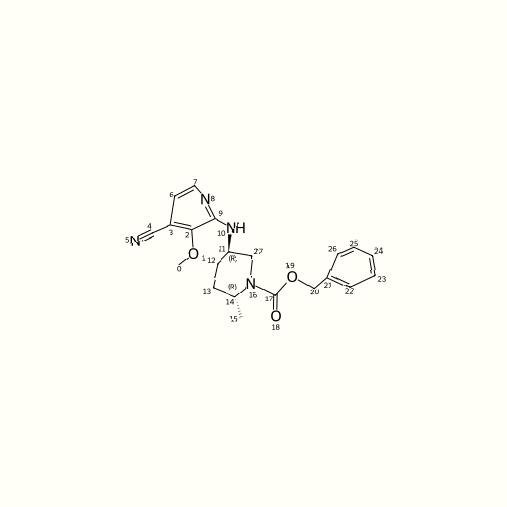 COc1c(C#N)ccnc1N[C@@H]1CC[C@@H](C)N(C(=O)OCc2ccccc2)C1